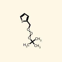 CC(C)(C)OOOCc1cccs1